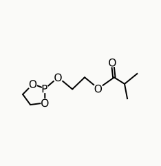 CC(C)C(=O)OCCOP1OCCO1